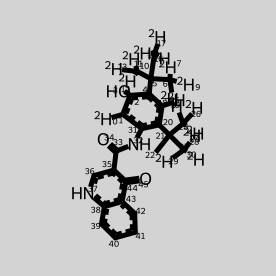 [2H]c1c(O)c(C(C([2H])([2H])[2H])(C([2H])([2H])[2H])C([2H])([2H])[2H])c([2H])c(C(C)(C([2H])([2H])[2H])C([2H])([2H])[2H])c1NC(=O)c1c[nH]c2ccccc2c1=O